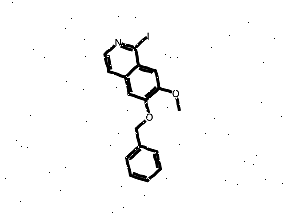 COc1cc2c(I)nccc2cc1OCc1ccccc1